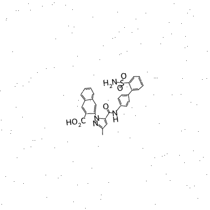 Cc1cc(C(=O)Nc2ccc(-c3ccccc3S(N)(=O)=O)cc2)n(-c2cc3ccccc3cc2C(=O)O)n1